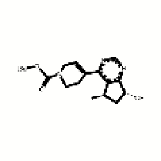 C[C@@H]1C[C@@H](O)c2ncnc(C3=CCN(C(=O)OC(C)(C)C)CC3)c21